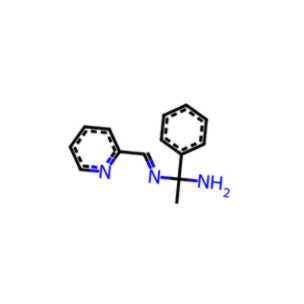 CC(N)(/N=C/c1ccccn1)c1ccccc1